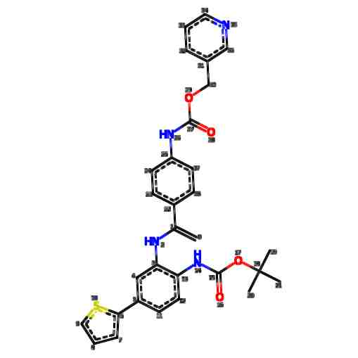 C=C(Nc1cc(-c2cccs2)ccc1NC(=O)OC(C)(C)C)c1ccc(NC(=O)OCc2cccnc2)cc1